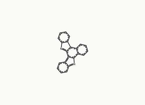 c1ccc2c(c1)N=c1c-2c2ccccc2c2c1=c1ccccc1=N2